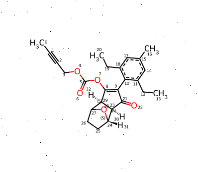 CC#CCOC(=O)OC1=C(c2c(CC)cc(C)cc2CC)C(=O)[C@H]2[C@@H]3CCC(O3)[C@@H]12